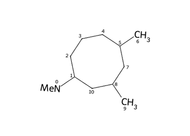 CNC1CCCC(C)CC(C)C1